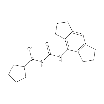 O=C(Nc1c2c(cc3c1CCC3)CCC2)N[S+]([O-])C1CCCC1